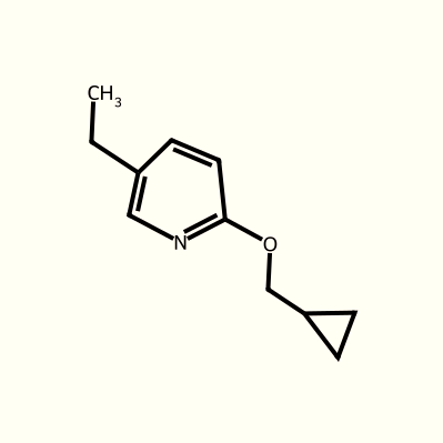 CCc1ccc(OCC2CC2)nc1